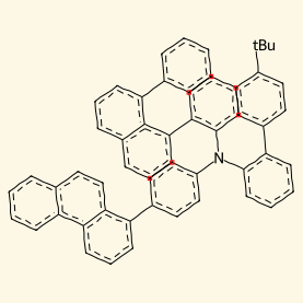 CC(C)(C)c1ccc(-c2ccccc2N(c2ccc(-c3cccc4c3ccc3ccccc34)cc2)c2ccccc2-c2cccc3cccc(-c4ccccc4)c23)cc1